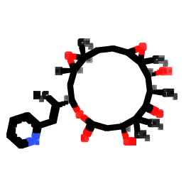 CC(=Cc1ccccn1)[C@@H]1C[C@@H]2O[C@]2(C)CCC2OC2(C)[C@H](O)[C@@H](C)C(=O)C(C)(C)[C@@H](O)CC(=O)O1